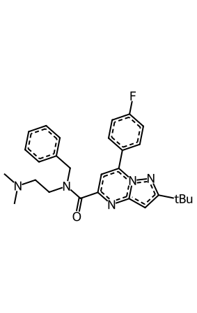 CN(C)CCN(Cc1ccccc1)C(=O)c1cc(-c2ccc(F)cc2)n2nc(C(C)(C)C)cc2n1